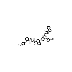 O=C(CNC(=O)c1cccc2ccccc12)Nc1cc(-c2ccc(C(=O)NCC(=O)Nc3ccccc3Oc3ccc(O)cc3)c3ccccc23)ccc1Oc1cccc(O)c1